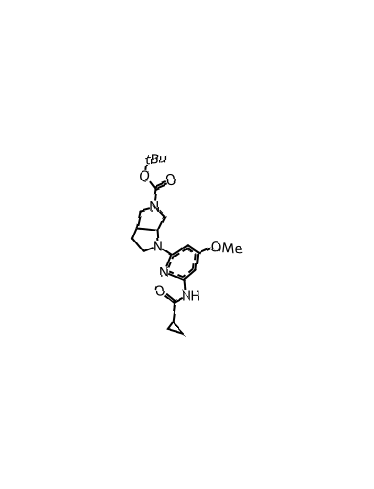 COc1cc(NC(=O)C2CC2)nc(N2CCC3CN(C(=O)OC(C)(C)C)CC32)c1